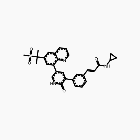 CC(C)(c1cc(-c2c[nH]c(=O)c(-c3cccc(C=CC(=O)NC4CC4)c3)c2)c2ncccc2c1)S(C)(=O)=O